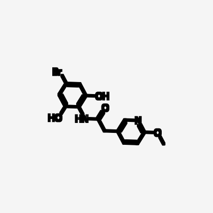 COc1ccc(CC(=O)Nc2c(O)cc(Br)cc2O)cn1